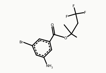 CC(C)(CC(F)(F)F)OC(=O)c1cc(N)cc(Br)c1